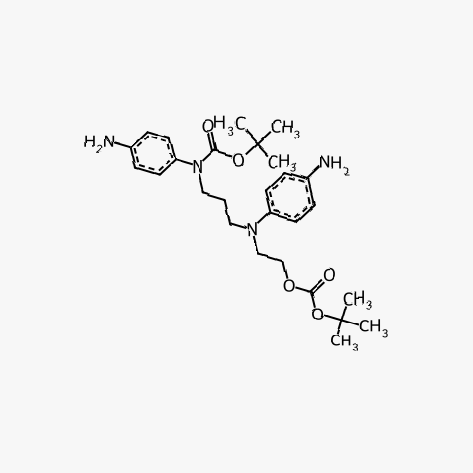 CC(C)(C)OC(=O)OCCN(CCCN(C(=O)OC(C)(C)C)c1ccc(N)cc1)c1ccc(N)cc1